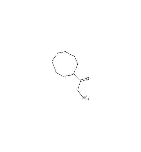 NCC(=O)C1CCCCCCC1